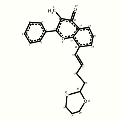 Cc1c(-c2ccccc2)oc2c(/C=C/CCC3OCCCO3)cccc2c1=O